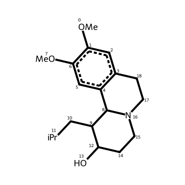 COc1cc2c(cc1OC)C1C(CC(C)C)C(O)CCN1CC2